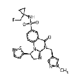 Cn1cc(CN2C(=O)c3cc(S(=O)(=O)NC4(CF)CC4)ccc3N3C2=NC[C@H]3c2ccns2)cn1